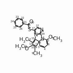 COC1=CC=CC23CC(C)=C(OC)C(C)=C2n2c(SC(=O)c4ccccc4)cnc2N13